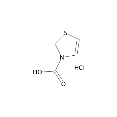 Cl.O=C(O)N1C=CSC1